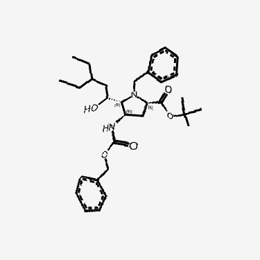 CCC(CC)CC(O)[C@H]1[C@H](NC(=O)OCc2ccccc2)C[C@H](C(=O)OC(C)(C)C)N1Cc1ccccc1